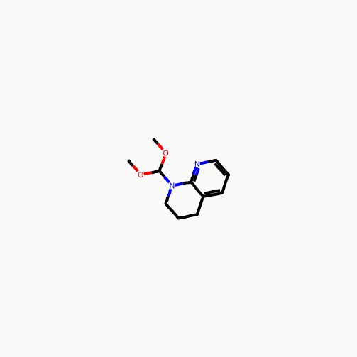 COC(OC)N1CCCc2cccnc21